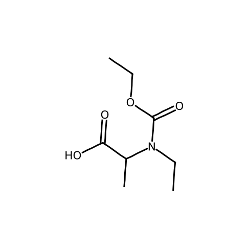 CCOC(=O)N(CC)C(C)C(=O)O